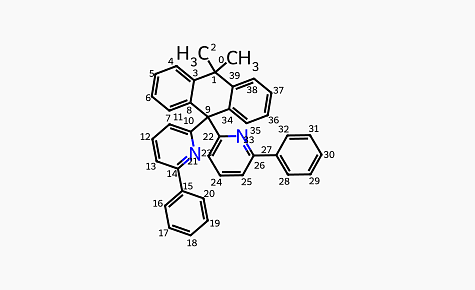 CC1(C)c2ccccc2C(c2cccc(-c3ccccc3)n2)(c2cccc(-c3ccccc3)n2)c2ccccc21